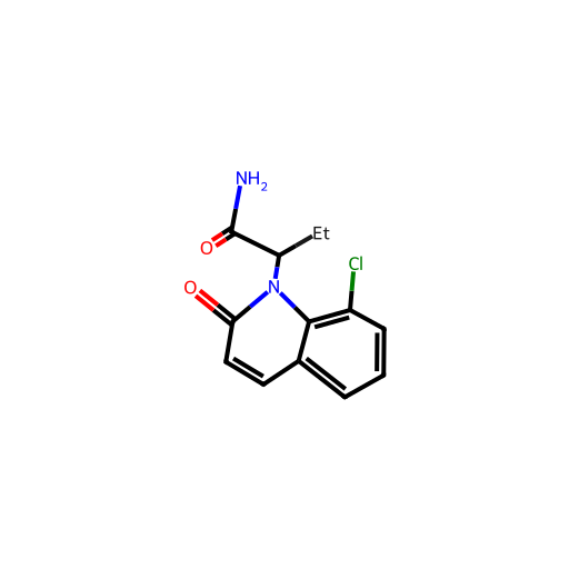 CCC(C(N)=O)n1c(=O)ccc2cccc(Cl)c21